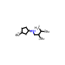 CCCCC(C)C(CNC1CCC(C(C)CC)C1)C(C)CC